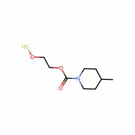 CC1CCN(C(=O)OCCOS)CC1